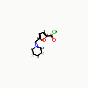 O=C(Cl)c1ccc(CN2CCCCC2)o1